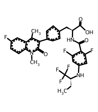 CC[C@@H](Nc1cc(F)c(C(=O)N[C@@H](Cc2ccc(-c3c(C)c4cc(F)ccc4n(C)c3=O)cc2)C(=O)O)c(F)c1)C(F)(F)F